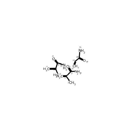 C=C(C)C(N)=O.C=C(C)C(N)=O.C=CC(N)=O